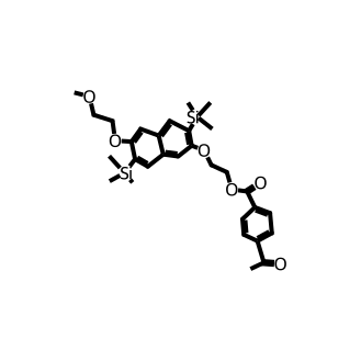 COCCOc1cc2cc([Si](C)(C)C)c(OCCOC(=O)c3ccc(C(C)=O)cc3)cc2cc1[Si](C)(C)C